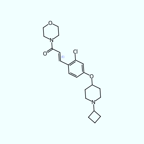 O=C(/C=C/c1ccc(OC2CCN(C3CCC3)CC2)cc1Cl)N1CCOCC1